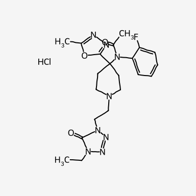 CCn1nnn(CCN2CCC(c3nnc(C)o3)(N(C(C)=O)c3ccccc3F)CC2)c1=O.Cl